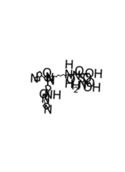 NC(CSC(CC(=O)O)C(=O)NCC(=O)NCCCCCCn1nc(-c2ccc(NC(=O)N3Cc4ccncc4C3)cc2)cc(-c2cccc3ncccc23)c1=O)C(=O)O